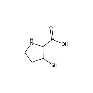 O=C(O)C1NCCC1S